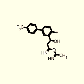 CC(=N)OC(=N)CC(O)c1cc(-c2ccc(C(F)(F)F)cc2)ccc1F